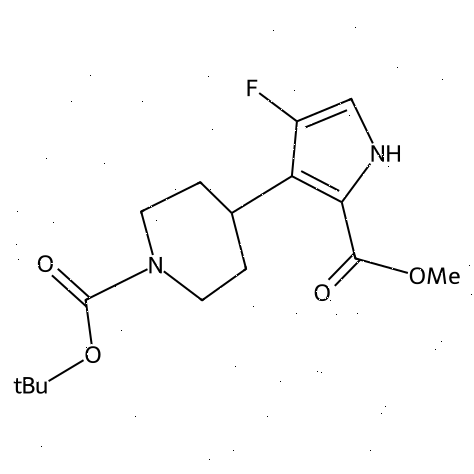 COC(=O)c1[nH]cc(F)c1C1CCN(C(=O)OC(C)(C)C)CC1